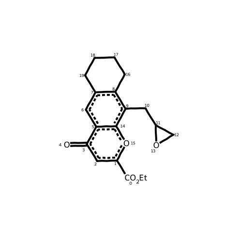 CCOC(=O)c1cc(=O)c2cc3c(c(CC4CO4)c2o1)CCCC3